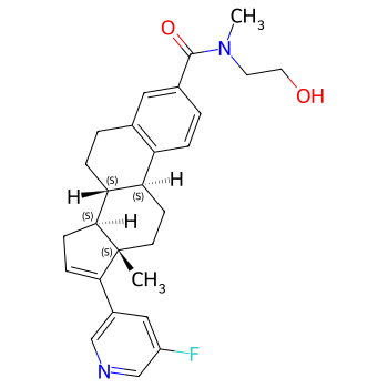 CN(CCO)C(=O)c1ccc2c(c1)CC[C@@H]1[C@@H]2CC[C@]2(C)C(c3cncc(F)c3)=CC[C@@H]12